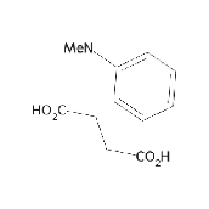 CNc1ccccc1.O=C(O)CCC(=O)O